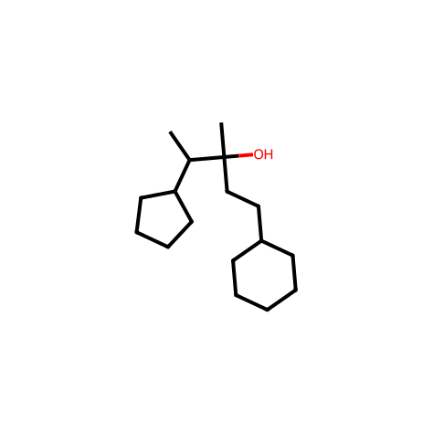 CC(C1CCCC1)C(C)(O)CCC1CCCCC1